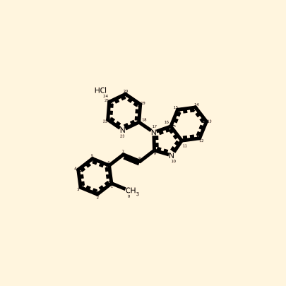 Cc1ccccc1C=Cc1nc2ccccc2n1-c1ccccn1.Cl